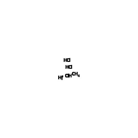 C.Cl.Cl.Cl.[Hf]